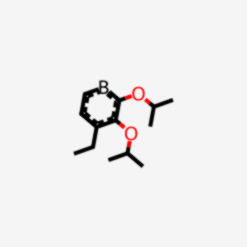 CCc1ccbc(OC(C)C)c1OC(C)C